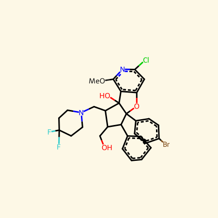 COc1nc(Cl)cc2c1C1(O)C(CN3CCC(F)(F)CC3)C(CO)C(c3ccccc3)C1(c1ccc(Br)cc1)O2